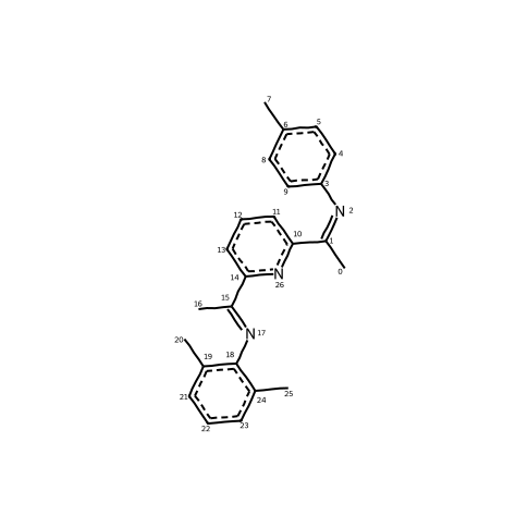 CC(=Nc1ccc(C)cc1)c1cccc(C(C)=Nc2c(C)cccc2C)n1